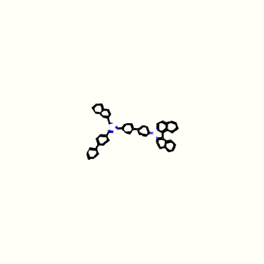 c1ccc(-c2ccc(-c3nc(-c4ccc(-c5ccc(-n6c7ccc8ccccc8c7c7c8ccccc8ccc76)cc5)cc4)nc(-c4ccc5ccccc5c4)n3)cc2)cc1